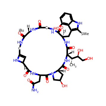 CC[C@H](C)[C@@H]1NC(=O)CNC(=O)[C@@H](Cc2c(SC)[nH]c3cccc(O)c23)NC(=O)[C@H]([C@@H](C)[C@@H](O)CO)NC(=O)[C@@H]2C[C@@H](O)CN2C(=O)C(CC(N)=O)NC(=O)[C@@H]2C=C(CNC1=O)N2